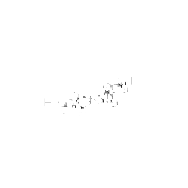 CC(=O)OCN1C(=O)CN(CCN2CC(=O)N(COC(C)=O)C(=O)C2)CC1=O